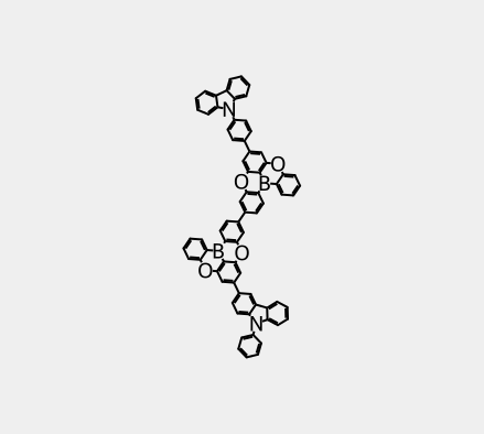 c1ccc(-n2c3ccccc3c3cc(-c4cc5c6c(c4)Oc4cc(-c7ccc8c(c7)Oc7cc(-c9ccc(-n%10c%11ccccc%11c%11ccccc%11%10)cc9)cc9c7B8c7ccccc7O9)ccc4B6c4ccccc4O5)ccc32)cc1